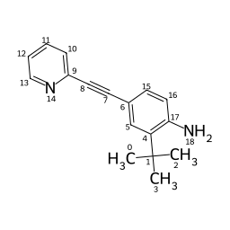 CC(C)(C)c1cc(C#Cc2ccccn2)ccc1N